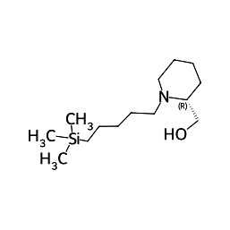 C[Si](C)(C)CCCCCN1CCCC[C@@H]1CO